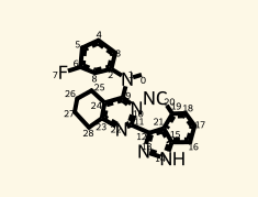 CN(c1cccc(F)c1)c1nc(-c2n[nH]c3cccc(C#N)c23)nc2c1CCCC2